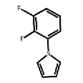 Fc1cccc(-n2cccc2)c1F